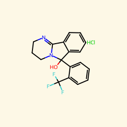 Cl.OC1(c2ccccc2C(F)(F)F)c2ccccc2C2=NCCCN21